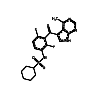 Cc1ncnc2[nH]cc(C(=O)c3c(F)ccc(NS(=O)(=O)C4CCCCC4)c3F)c12